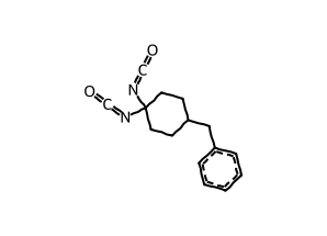 O=C=NC1(N=C=O)CCC(Cc2ccccc2)CC1